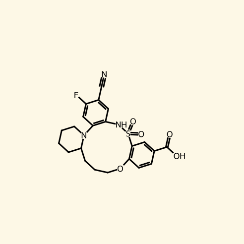 N#Cc1cc2c(cc1F)N1CCCCC1CCCOc1ccc(C(=O)O)cc1S(=O)(=O)N2